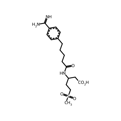 CS(=O)(=O)CCC(CC(=O)O)NC(=O)CCCCc1ccc(C(=N)N)cc1